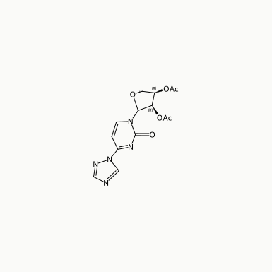 CC(=O)O[C@@H]1[CH]OC(n2ccc(-n3cncn3)nc2=O)[C@@H]1OC(C)=O